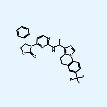 C[C@H](Nc1nccc(N2C(=O)OC[C@@H]2c2ccccc2)n1)c1ncn2c1CCc1cc(C(F)(F)F)ccc1-2